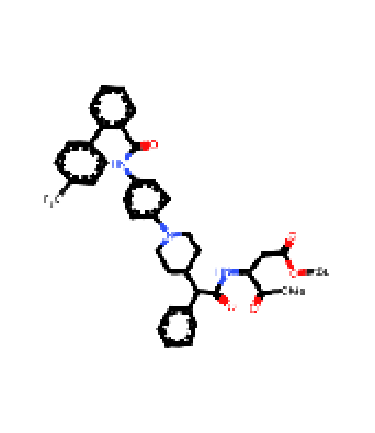 COC(=O)C(CC(=O)OC(C)(C)C)NC(=O)C(c1ccccc1)C1CCN(c2ccc(NC(=O)c3ccccc3-c3ccc(C(F)(F)F)cc3)cc2)CC1